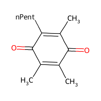 [CH2][CH]CCCC1=C(C)C(=O)C(C)=C(C)C1=O